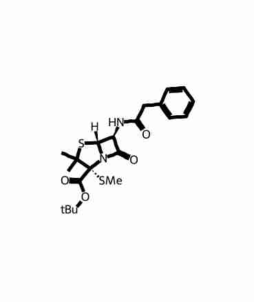 CS[C@@]1(C(=O)OC(C)(C)C)N2C(=O)[C@H](NC(=O)Cc3ccccc3)[C@H]2SC1(C)C